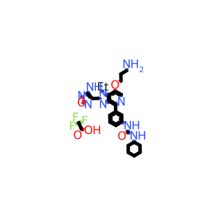 CCn1c(-c2nonc2N)nc2c(-c3cccc(NC(=O)NC4CCCCC4)c3)ncc(OCCCN)c21.O=C(O)C(F)(F)F